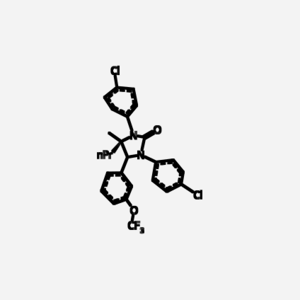 CCC[C@]1(C)C(c2cccc(OC(F)(F)F)c2)N(c2ccc(Cl)cc2)C(=O)N1c1ccc(Cl)cc1